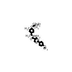 CCOC(=O)C(C)(C)Oc1ccc(C(C)NC(=O)c2cnc(-c3ccc(OC(F)(F)F)cc3)nc2C(F)(F)F)cc1C